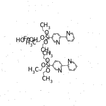 CCO[Si](OCC)(OCC)c1ccc(-c2ccccn2)nc1.CCO[Si](OCC)(OCC)c1ccc(-c2ccccn2)nc1.[OH][Fe][OH]